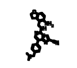 CN(C)Cc1ccc(-c2cnc(NCc3c(N)ccc4c3CCO4)n3cc(C#N)nc23)cc1